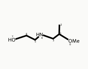 COC(C)CNCCO